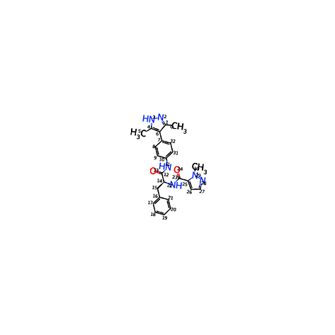 Cc1n[nH]c(C)c1-c1ccc(NC(=O)[C@H](Cc2ccccc2)NC(=O)c2ccnn2C)cc1